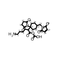 NCCCCC(C(=O)OC(=O)O)C1(N2C(=O)CCC2=O)CCC(CN2C(=O)C=CC2=O)CC1